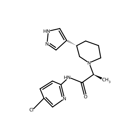 C[C@@H](C(=O)Nc1ccc(Cl)cn1)N1CCC[C@@H](c2cn[nH]c2)C1